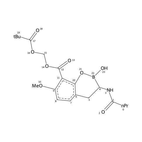 CCCC(=O)NC1Cc2ccc(OC)c(C(=O)OCOC(=O)C(C)(C)C)c2OB1O